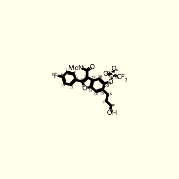 CNC(=O)c1c(-c2ccc(F)cc2)oc2cc(CCCO)c(OS(=O)(=O)C(F)(F)F)cc12